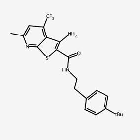 Cc1cc(C(F)(F)F)c2c(N)c(C(=O)NCCc3ccc(C(C)(C)C)cc3)sc2n1